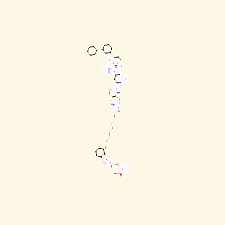 C=C1N(c2cncc(Nc3ncc(Cl)c(-c4cccc(-c5ccccc5)c4)n3)c2)CCC12CCN(C(=O)CCCCCCCOc1cccc3c1CN(C1CCC(=O)NC1=O)C3=O)CC2